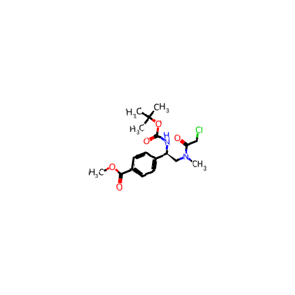 COC(=O)c1ccc([C@H](CN(C)C(=O)CCl)NC(=O)OC(C)(C)C)cc1